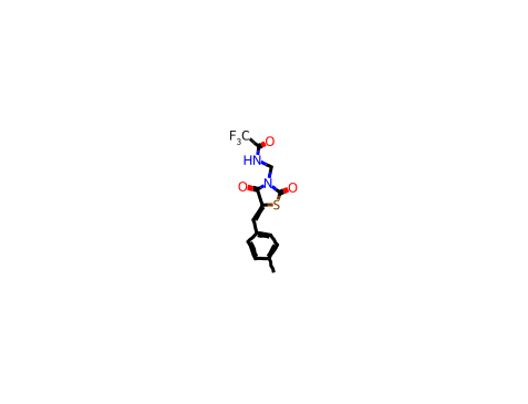 Cc1ccc(/C=C2\SC(=O)N(CNC(=O)C(F)(F)F)C2=O)cc1